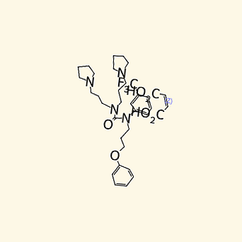 O=C(N(CCCN1CCCC1)CCCN1CCCC1)N(CCCOc1ccccc1)c1cccc(C(F)(F)F)c1.O=C(O)/C=C\C(=O)O